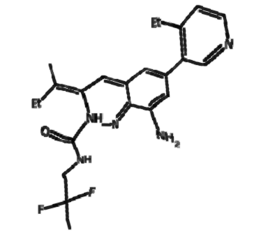 CC/C(C)=C(/C=C1/C=C(c2cnccc2CC)C=C(N)/C1=N/C)NC(=O)NCC(C)(F)F